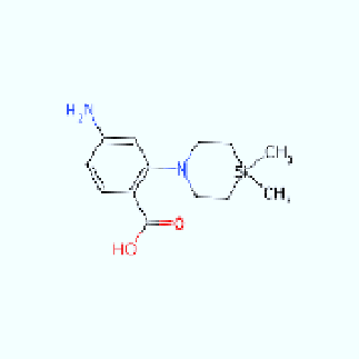 C[Si]1(C)CCN(c2cc(N)ccc2C(=O)O)CC1